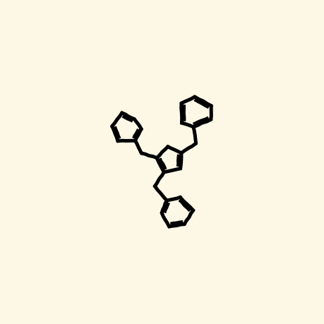 C1=C(Cc2ccccc2)CC(Cc2ccccc2)=C1Cc1ccccc1